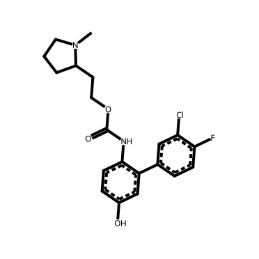 CN1CCCC1CCOC(=O)Nc1ccc(O)cc1-c1ccc(F)c(Cl)c1